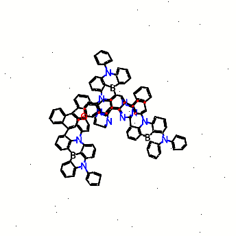 c1ccc(-c2nc(-c3ccc(-c4cccc5c4oc4cc(-c6cccc7c6N(c6ccccc6)c6cccc8c6B7c6ccccc6N8c6ccccc6)c6ccccc6c45)cc3)nc(-c3cccc4c3N(c3cccc(-c5cc6c(c(-c7ncccn7)c5)N(c5ccccc5)c5cccc7c5B6c5ccccc5N7c5ccccc5)c3)c3cccc5c3B4c3ccccc3N5c3ccccc3)n2)cc1